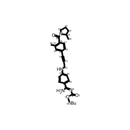 CCCCOC(=O)N=C(N)c1ccc(NCC#Cc2ccc(C(=O)N3CCCC3C)c(C)c2)cc1